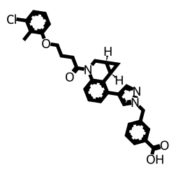 Cc1c(Cl)cccc1OCCCC(=O)N1C[C@H]2C[C@H]2c2c(-c3cnn(Cc4cccc(C(=O)O)c4)c3)cccc21